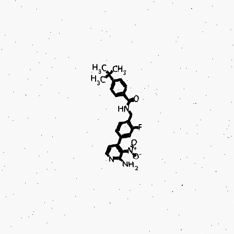 CC(C)(C)c1ccc(C(=O)NCc2ccc(-c3ccnc(N)c3[N+](=O)[O-])cc2F)cc1